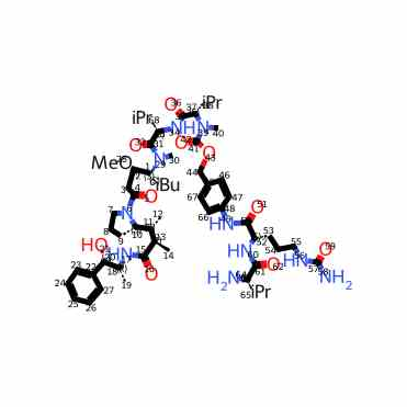 CC[C@H](C)[C@@H]([C@@H](CC(=O)N1CCC[C@H]1[C@H](C)[C@@H](C)C(=O)N[C@H](C)[C@@H](O)c1ccccc1)OC)N(C)C(=O)[C@@H](NC(=O)[C@H](C(C)C)N(C)C(=O)OCc1ccc(NC(=O)[C@H](CCCNC(N)=O)NC(=O)[C@@H](N)C(C)C)cc1)C(C)C